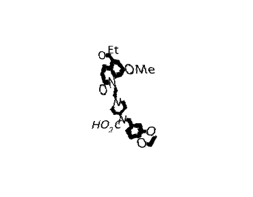 CCC(=O)c1cc(OC)cc2c1ccc(=O)n2CCN1CCC(N(Cc2ccc3c(c2)OCCO3)C(=O)O)CC1